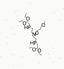 CCOC(CPCCN(CCPCC(OCC)OCC)OCCCOC)OCC